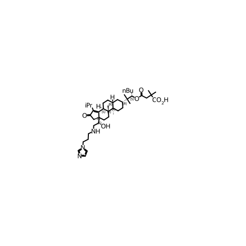 CCCC[C@H](OC(=O)CC(C)(C)C(=O)O)C(C)(C)[C@@H]1CC[C@]2(C)[C@H](CC[C@@H]3C4=C(C(C)C)C(=O)C[C@]4([C@H](O)CNCCCn4ccnc4)CC[C@]32C)C1